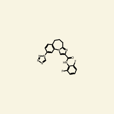 O=C(Nc1c(F)cccc1F)c1cn2c(n1)CCCc1ccc(-n3cnnn3)cc1-2